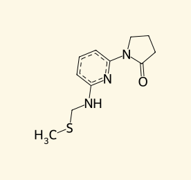 CSCNc1cccc(N2CCCC2=O)n1